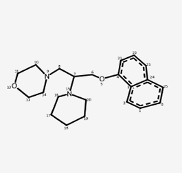 c1ccc2c(OCC(CN3CCOCC3)N3CCCCC3)cccc2c1